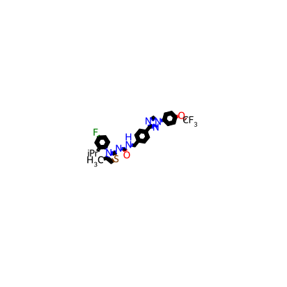 Cc1cs/c(=N\C(=O)NCc2ccc(-c3ncn(-c4ccc(OC(F)(F)F)cc4)n3)cc2)n1-c1ccc(F)cc1C(C)C